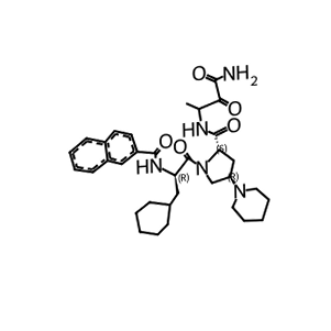 CC(NC(=O)[C@@H]1C[C@@H](N2CCCCC2)CN1C(=O)[C@@H](CC1CCCCC1)NC(=O)c1ccc2ccccc2c1)C(=O)C(N)=O